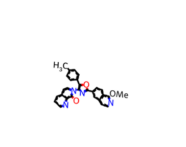 COc1nccc2cc(-c3nc(-n4ccc5cccnc5c4=O)c(-c4ccc(C)cc4)o3)ccc12